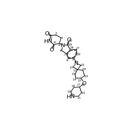 O=C1CCC(N2Cc3cc(N4CC5(CCC(OC6CCNCC6)CC5)C4)ccc3C2=O)C(=O)N1